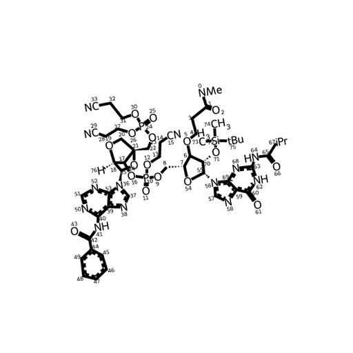 CNC(=O)CCOC1[C@@H](COP(=O)(OCCC#N)OC2[C@@H]3OC[C@]2(COP(=O)(OCCC#N)OCCC#N)O[C@H]3n2cnc3c(NC(=O)c4ccccc4)ncnc32)O[C@@H](n2cnc3c(=O)[nH]c(NC(=O)C(C)C)nc32)[C@H]1O[Si](C)(C)C(C)(C)C